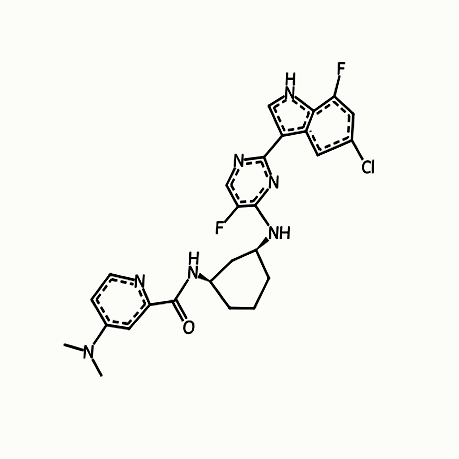 CN(C)c1ccnc(C(=O)N[C@@H]2CCC[C@H](Nc3nc(-c4c[nH]c5c(F)cc(Cl)cc45)ncc3F)C2)c1